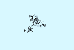 CS(=O)(=O)CCCCC(c1cccc(F)c1F)S(=O)(=O)c1ccc(Cl)cc1